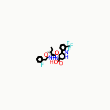 CC[C@H](C)[C@H](NC(=O)Cc1ccccc1F)C(=O)N[C@]1(C(=O)O)CCc2[nH]c3c(C(F)(F)F)cccc3c2C1